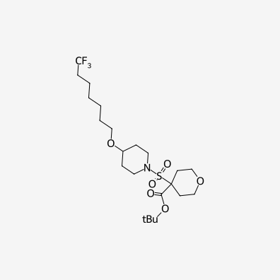 CC(C)(C)OC(=O)C1(S(=O)(=O)N2CCC(OCCCCCCC(F)(F)F)CC2)CCOCC1